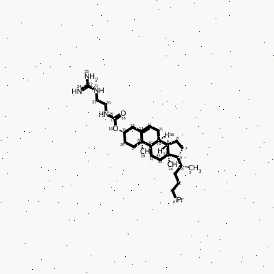 CC(C)CCC[C@@H](C)[C@H]1CC[C@H]2[C@@H]3CC=C4C[C@@H](OC(=O)NCCNC(=N)N)CC[C@]4(C)C3CC[C@]12C